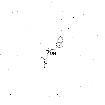 CCOC(=O)CCP(=O)(O)CCc1ccc2ccccc2c1